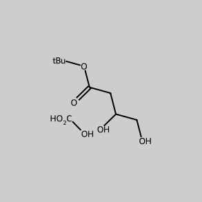 CC(C)(C)OC(=O)CC(O)CO.O=C(O)O